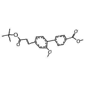 COC(=O)c1ccc(-c2ccc(/C=C/C(=O)OC(C)(C)C)cc2OC)cc1